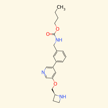 CCCCOC(=O)NCc1cccc(-c2cncc(OC[C@@H]3CCN3)c2)c1